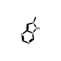 CN1C=C2N=CN=CN2N1